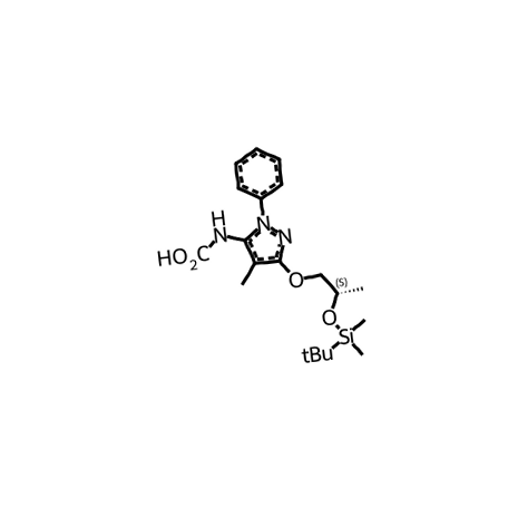 Cc1c(OC[C@H](C)O[Si](C)(C)C(C)(C)C)nn(-c2ccccc2)c1NC(=O)O